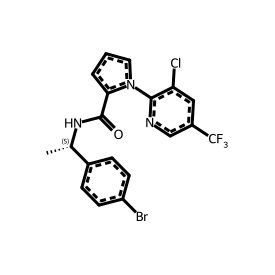 C[C@H](NC(=O)c1cccn1-c1ncc(C(F)(F)F)cc1Cl)c1ccc(Br)cc1